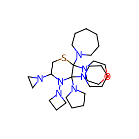 C1CCCN(C2(N3CCOCC3)SCC(N3CC3)N(N3CCC3)C2(N2CCCCC2)N2CCCC2)CC1